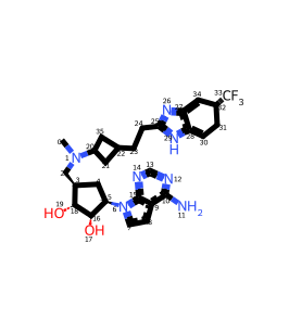 CN(C[C@H]1C[C@@H](n2ccc3c(N)ncnc32)[C@H](O)[C@@H]1O)C1CC(CCc2nc3c([nH]2)=CCC(C(F)(F)F)C=3)C1